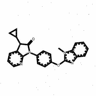 Cn1c(Oc2ccc(N3C(=O)C(C4CC4)c4cccnc43)cc2)nc2ccccc21